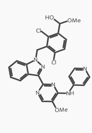 COc1cnc(-c2nn(Cc3c(Cl)ccc(C(O)OC)c3Cl)c3ccccc23)nc1Nc1ccncc1